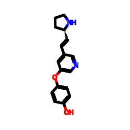 Oc1ccc(Oc2cncc(C=C[C@@H]3CCCN3)c2)cc1